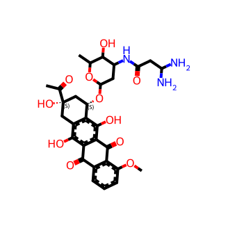 COc1cccc2c1C(=O)c1c(O)c3c(c(O)c1C2=O)C[C@@](O)(C(C)=O)C[C@@H]3OC1CC(NC(=O)CC(N)N)C(O)C(C)O1